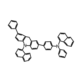 c1ccc(-c2ccc3c(c2)Cc2cc(-c4ccc(N(c5ccccc5)c5cccc6ccccc56)cc4)ccc2N3c2cccc3ccccc23)cc1